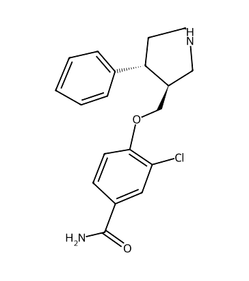 NC(=O)c1ccc(OC[C@@H]2CNCC[C@H]2c2ccccc2)c(Cl)c1